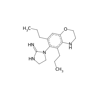 CCCc1cc2c(c(CCC)c1N1CCNC1=N)NCCO2